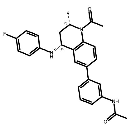 CC(=O)Nc1cccc(-c2ccc3c(c2)[C@H](Nc2ccc(F)cc2)C[C@H](C)N3C(C)=O)c1